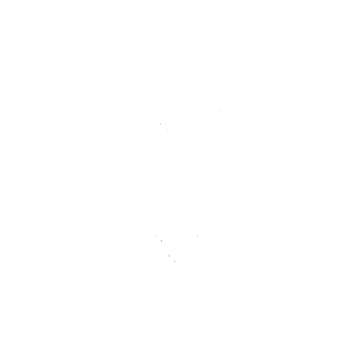 Cn1nccc1-c1ccc(CN2Cc3ccccc3C2=O)c(F)c1